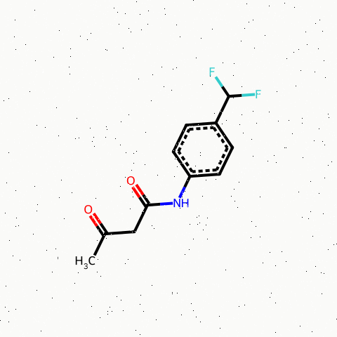 CC(=O)CC(=O)Nc1ccc(C(F)F)cc1